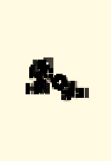 O=C(O)N[C@H]1CC[C@@H](COc2c(Cl)ncnc2-c2cn[nH]c2)CC1